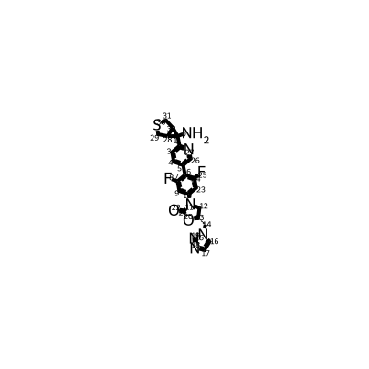 NC1(c2ccc(-c3c(F)cc(N4C[C@H](Cn5ccnn5)OC4=O)cc3F)cn2)C2CSCC21